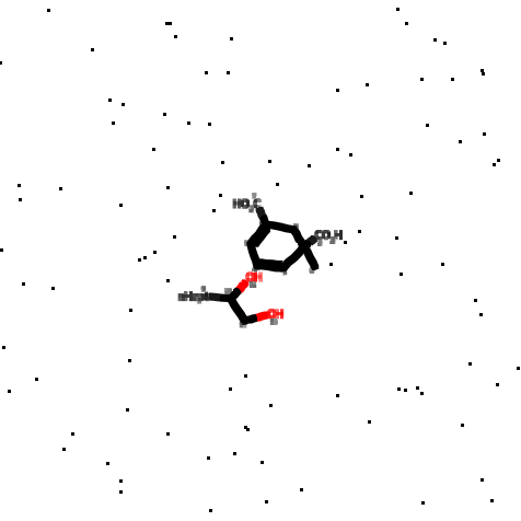 CC1(C(=O)O)C=CC=C(C(=O)O)C1.CCCCCCCC(O)CO